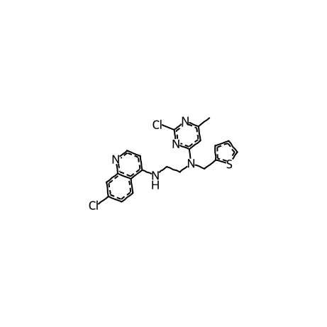 Cc1cc(N(CCNc2ccnc3cc(Cl)ccc23)Cc2cccs2)nc(Cl)n1